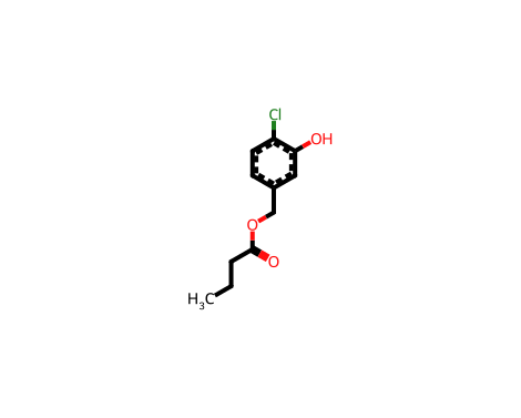 CCCC(=O)OCc1ccc(Cl)c(O)c1